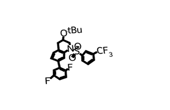 CC(C)(C)OC1Cc2ccc(-c3cc(F)ccc3F)cc2N(S(=O)(=O)c2cccc(C(F)(F)F)c2)C1